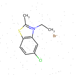 CC[n+]1c(C)sc2ccc(Cl)cc21.[Br-]